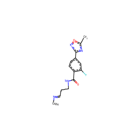 CON=CCCNC(=O)c1ccc(-c2noc(C(F)(F)F)n2)cc1F